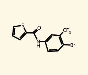 O=C(Nc1ccc(Br)c(C(F)(F)F)c1)c1cccs1